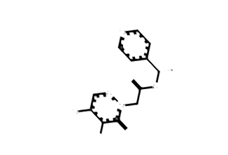 Cc1c(N)cnn(CC(=O)N[C@@H](C)c2ccncc2)c1=O